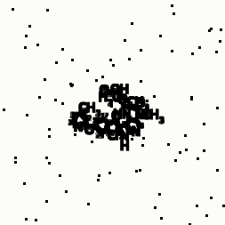 COCC1(C)Nc2c(cnc3[nH]cc(C(=O)c4ccc(Oc5cc(C)ccn5)cc4Cl)c23)N(C)C1=O.O=CO